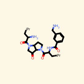 CC(C)CC(N)C(=O)N1CC(=O)C2C1CCN2C(=O)C(CC(C)C)NC(=O)c1cccc(CN)c1